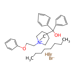 Br.CCCCCCCC.OC(c1ccccc1)(c1ccccc1)C12CC[N+](CCOc3ccccc3)(CC1)CC2.[Br-]